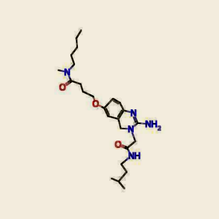 CCCCCN(C)C(=O)CCCOc1ccc2c(c1)CN(CC(=O)NCCC(C)C)C(N)=N2